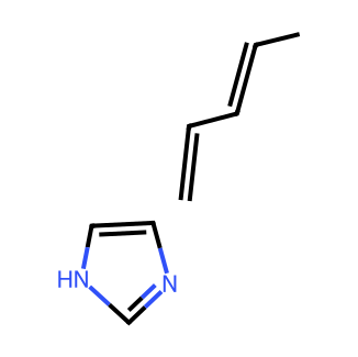 C=CC=CC.c1c[nH]cn1